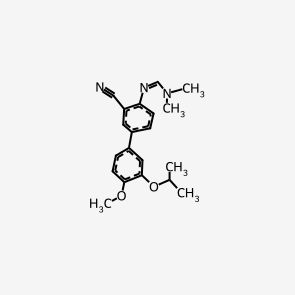 COc1ccc(-c2ccc(/N=C\N(C)C)c(C#N)c2)cc1OC(C)C